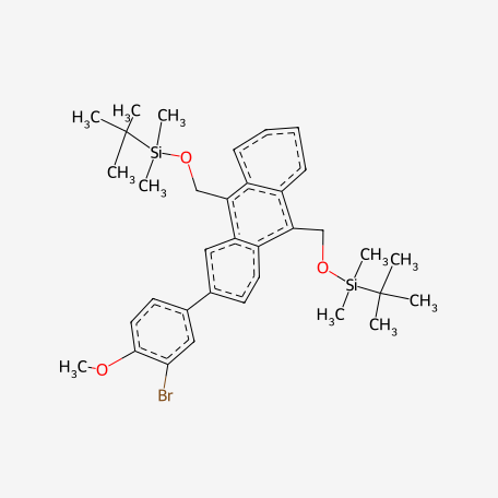 COc1ccc(-c2ccc3c(CO[Si](C)(C)C(C)(C)C)c4ccccc4c(CO[Si](C)(C)C(C)(C)C)c3c2)cc1Br